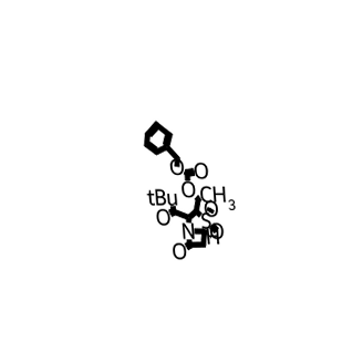 CC(OC(=O)OCc1ccccc1)C1C(C(=O)C(C)(C)C)N2C(=O)C[C@H]2S1(=O)=O